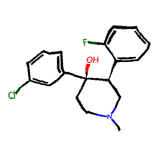 CN1CC[C@](O)(c2cccc(Cl)c2)[C@@H](c2ccccc2F)C1